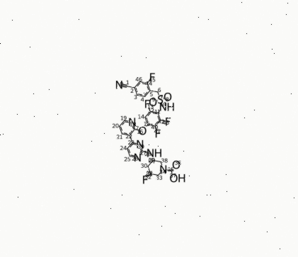 N#Cc1ccc(CS(=O)(=O)Nc2c(F)cc(Oc3ncccc3-c3ccnc(N[C@H]4C[C@H](F)CN(C(=O)O)C4)n3)c(F)c2F)c(F)c1